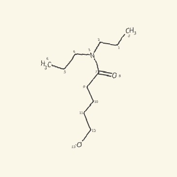 CCCN(CCC)C(=O)CCCC[O]